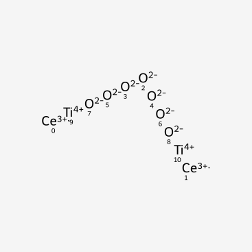 [Ce+3].[Ce+3].[O-2].[O-2].[O-2].[O-2].[O-2].[O-2].[O-2].[Ti+4].[Ti+4]